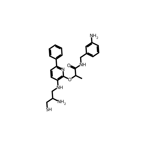 CC(Oc1nc(-c2ccccc2)ccc1NCC(N)CS)C(=O)NCc1cccc(N)c1